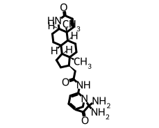 C[C@]12C=CC(=O)N[C@@H]1CC[C@@H]1[C@@H]2CC[C@]2(C)[C@@H](CC(=O)NC3=CC=C4CN3C(N)(N)C4=O)CC[C@@H]12